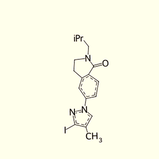 Cc1cn(-c2ccc3c(c2)CCN(CC(C)C)C3=O)nc1I